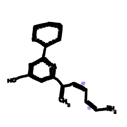 C=C(/C=C\C=C/N)c1cc(O)cc(-c2ccccn2)n1